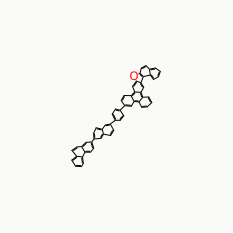 c1ccc2c(c1)ccc1cc(-c3ccc4cc(-c5ccc(-c6ccc7c(c6)c6ccccc6c6cc8c(cc76)oc6ccc7ccccc7c68)cc5)ccc4c3)ccc12